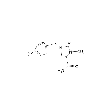 CN1C(=O)N(Cc2ccc(Cl)cc2)CC1C(N)=O